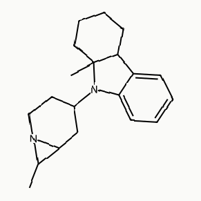 CC1C2CC(N3c4ccccc4C4CCCCC43C)CCN12